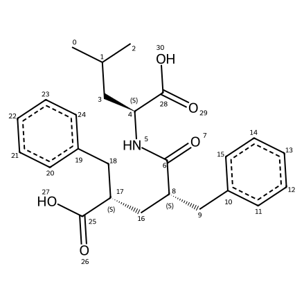 CC(C)C[C@H](NC(=O)[C@H](Cc1ccccc1)C[C@@H](Cc1ccccc1)C(=O)O)C(=O)O